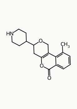 Cc1cccc2c(=O)oc3c(c12)COC(C1CCNCC1)C3